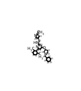 Cc1cccc(C)c1-c1cc(OC2CCN(Cc3ccccc3)C2)nc(NSc2cnn(C)c2)n1